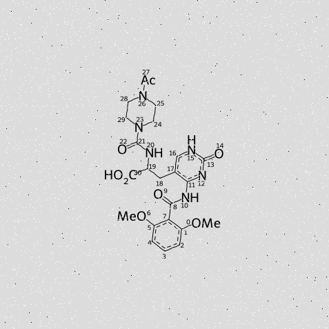 COc1cccc(OC)c1C(=O)Nc1nc(=O)[nH]cc1CC(NC(=O)N1CCN(C(C)=O)CC1)C(=O)O